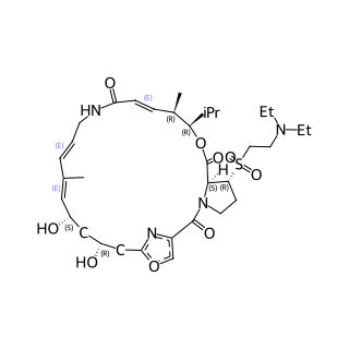 CCN(CC)CCS(=O)(=O)[C@@H]1CCN2C(=O)c3coc(n3)C[C@H](O)C[C@H](O)/C=C(C)/C=C/CNC(=O)/C=C/[C@@H](C)[C@@H](C(C)C)OC(=O)[C@@H]12